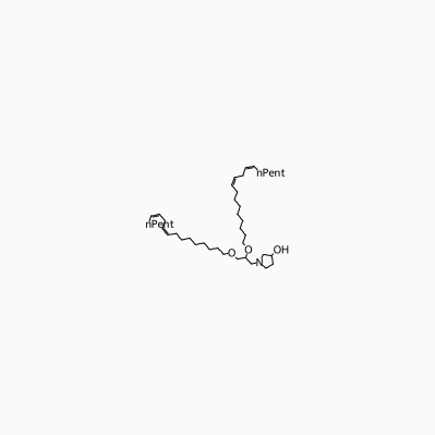 CCCCC/C=C\C/C=C\CCCCCCCCOCC(CN1CCC(O)C1)OCCCCCCCC/C=C\C/C=C\CCCCC